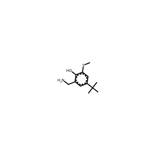 CSc1cc(C(C)(C)C)cc(CN)c1O